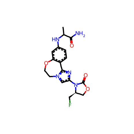 CC(Nc1ccc2c(c1)OCCn1cc(N3C(=O)OC[C@H]3CF)nc1-2)C(N)=O